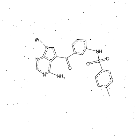 Cc1ccc(S(=O)(=O)Nc2cccc(C(=O)c3cn(C(C)C)c4ncnc(N)c34)c2)cc1